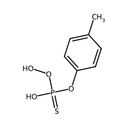 Cc1ccc(OP(O)(=S)OO)cc1